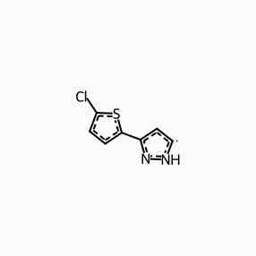 Clc1ccc(-c2c[c][nH]n2)s1